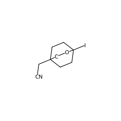 N#CCC12CCC(I)(CC1)OC2